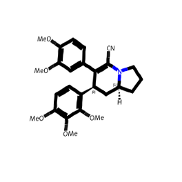 COc1ccc(C2=C(C#N)N3CCC[C@H]3C[C@H]2c2ccc(OC)c(OC)c2OC)cc1OC